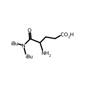 CCC(C)N(C(=O)C(N)CCC(=O)O)C(C)CC